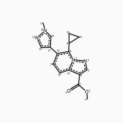 COC(=O)c1cnn2c(C3CC3)c(-c3cnn(C)c3)ccc12